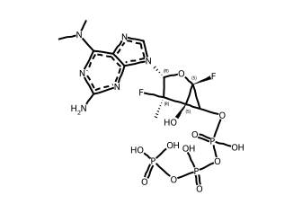 CN(C)c1nc(N)nc2c1ncn2[C@@H]1O[C@]2(F)C(OP(=O)(O)OP(=O)(O)OP(=O)(O)O)[C@]2(O)[C@@]1(C)F